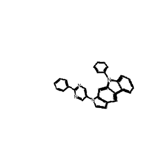 c1ccc(-c2ncc(-n3ccc4cc5c6ccccc6n(-c6ccccc6)c5cc43)cn2)cc1